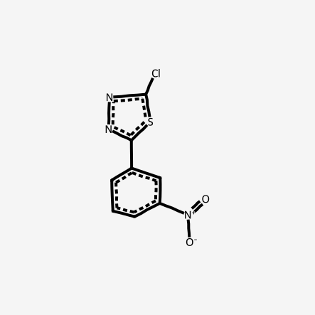 O=[N+]([O-])c1cccc(-c2nnc(Cl)s2)c1